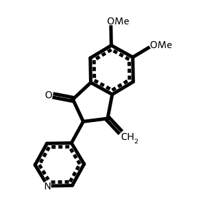 C=C1c2cc(OC)c(OC)cc2C(=O)C1c1ccncc1